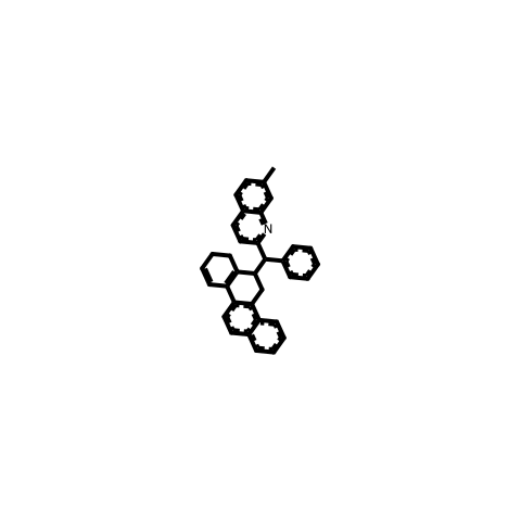 Cc1ccc2ccc(C(c3ccccc3)C3Cc4c(ccc5ccccc45)C4=C3CCC=C4)nc2c1